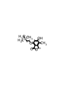 Cc1c(O)cc(OCC[Si](C)(C)C)c2c1COC2=O